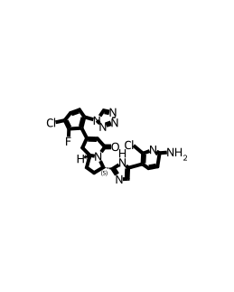 Nc1ccc(-c2cnc([C@@H]3CC[C@@H]4CC(c5c(-n6cnnn6)ccc(Cl)c5F)=CC(=O)N43)[nH]2)c(Cl)n1